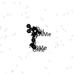 CNC(C)C(=O)NC1CN(C(=O)C2(C(=O)Cc3ccc(Oc4ccnc5cc(OC)c(OC)cc45)cc3)CC2)CC[C@]2(C(=O)NC(c3ccccc3)c3ccccc3)CCCN2C1=O